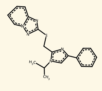 CC(C)n1cc(-c2ccccc2)nc1CSc1nc2ccccn2n1